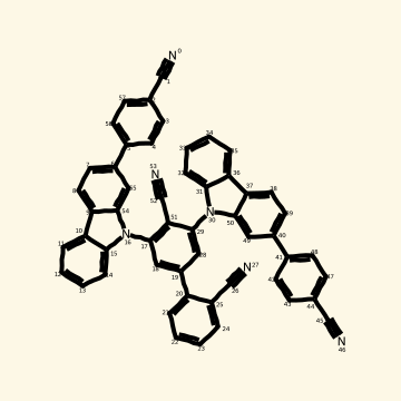 N#Cc1ccc(-c2ccc3c4ccccc4n(-c4cc(-c5ccccc5C#N)cc(-n5c6ccccc6c6ccc(-c7ccc(C#N)cc7)cc65)c4C#N)c3c2)cc1